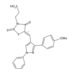 COc1ccc(-c2nn(-c3ccccc3)cc2/C=C2\SC(=S)N(CCS(=O)(=O)O)C2=O)cc1